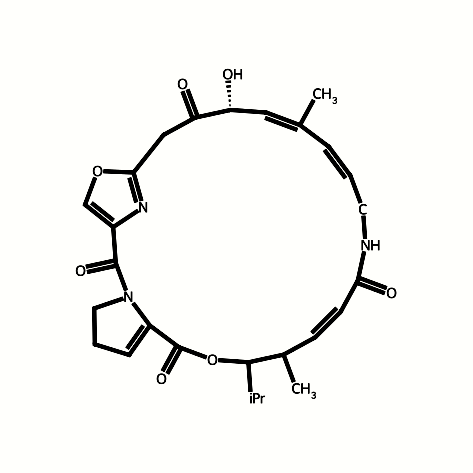 CC1=C/[C@@H](O)C(=O)Cc2nc(co2)C(=O)N2CCC=C2C(=O)OC(C(C)C)C(C)/C=C\C(=O)NC/C=C\1